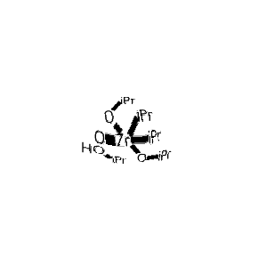 CC(C)O.CC(C)[O][Zr](=[O])([O]C(C)C)([CH](C)C)[CH](C)C